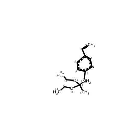 C=Cc1ccc([SiH2]C(C)(OCC)OCC)cc1